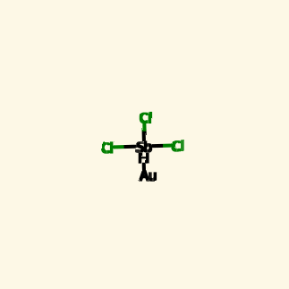 [Cl][SbH]([Cl])([Cl])[Au]